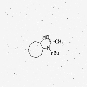 CCCCN(C(C)O)C1CCCCCCC1C